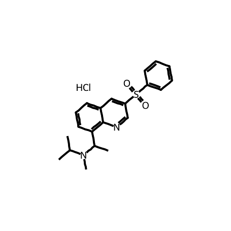 CC(C)N(C)C(C)c1cccc2cc(S(=O)(=O)c3ccccc3)cnc12.Cl